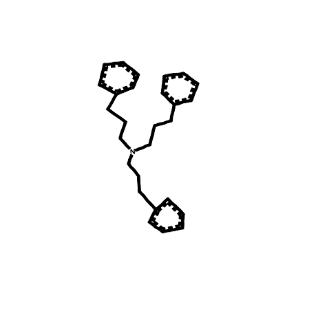 c1ccc(CCCN(CCCc2ccccc2)CCCc2ccccc2)cc1